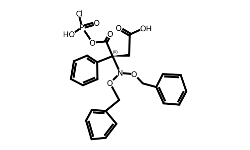 O=C(O)C[C@](C(=O)OP(=O)(O)Cl)(c1ccccc1)N(OCc1ccccc1)OCc1ccccc1